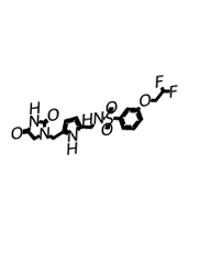 O=C1CN(Cc2ccc(CNS(=O)(=O)c3cccc(OCC(F)F)c3)[nH]2)C(=O)N1